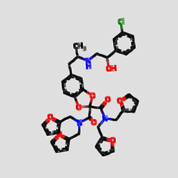 CC(Cc1ccc2c(c1)OC(C(=O)N(Cc1ccco1)Cc1ccco1)(C(=O)N(Cc1ccco1)Cc1ccco1)O2)NCC(O)c1cccc(Cl)c1